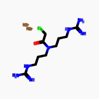 Br.Br.N=C(N)NCCCN(CCCNC(=N)N)C(=O)CCl